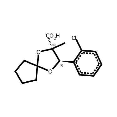 C[C@]1(C(=O)O)OC2(CCCC2)O[C@@H]1c1ccccc1Cl